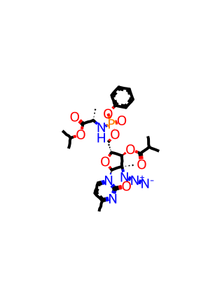 Cc1ccn([C@@H]2O[C@H](COP(=O)(N[C@@H](C)C(=O)OC(C)C)Oc3ccccc3)[C@@H](OC(=O)C(C)C)[C@@]2(C)N=[N+]=[N-])c(=O)n1